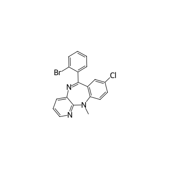 CN1c2ccc(Cl)cc2C(c2ccccc2Br)=Nc2cccnc21